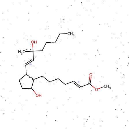 CCCCCC(C)(O)/C=C/C1CCC(O)C1CCCC/C=C/C(=O)OC